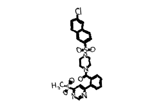 CS(=O)(=O)c1cc(-c2ccccc2C(=O)N2CCN(S(=O)(=O)c3ccc4cc(Cl)ccc4c3)CC2)ncn1